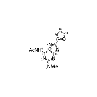 CNc1nc(NC(C)=O)n2nc(-c3ccco3)nc2n1